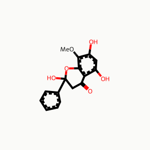 COc1c(O)cc(O)c2c1OC(O)(c1ccccc1)CC2=O